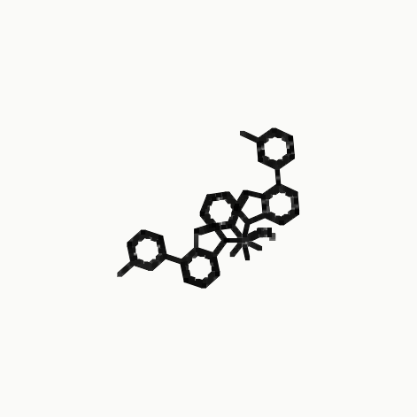 Cc1cccc(-c2cccc3c2C=C[CH]3[Hf]([CH3])([CH3])([CH3])(=[SiH2])([c]2ccccc2)[CH]2C=Cc3c(-c4cccc(C)c4)cccc32)c1